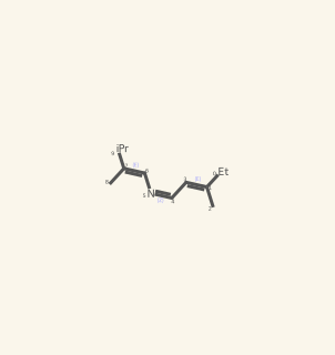 CC/C(C)=C/C=N\C=C(/C)C(C)C